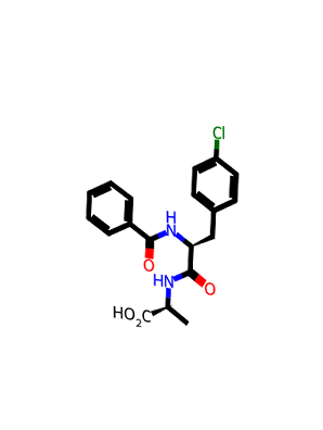 C[C@H](NC(=O)[C@H](Cc1ccc(Cl)cc1)NC(=O)c1ccccc1)C(=O)O